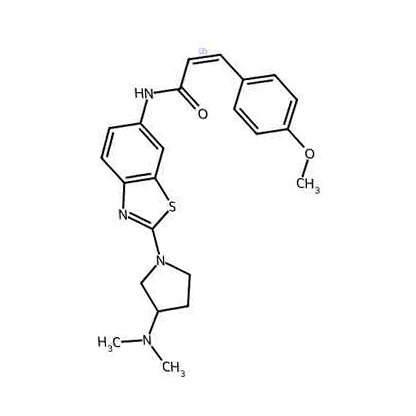 COc1ccc(/C=C\C(=O)Nc2ccc3nc(N4CCC(N(C)C)C4)sc3c2)cc1